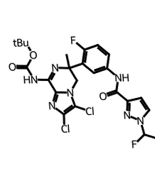 CC(C)(C)OC(=O)NC1=NC(C)(c2cc(NC(=O)c3ccn(C(F)F)n3)ccc2F)Cn2c1nc(Cl)c2Cl